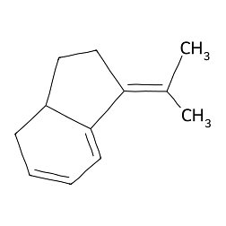 CC(C)=C1CCC2CC=CC=C12